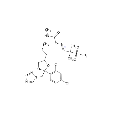 CCCC1COC(Cn2cncn2)(c2ccc(Cl)cc2Cl)O1.CNC(=O)O/N=C/C(C)(C)S(C)(=O)=O